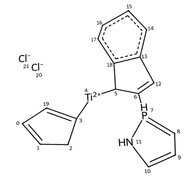 C1=CC[C]([Ti+2][CH]2C([PH]3=CC=CN3)=Cc3ccccc32)=C1.[Cl-].[Cl-]